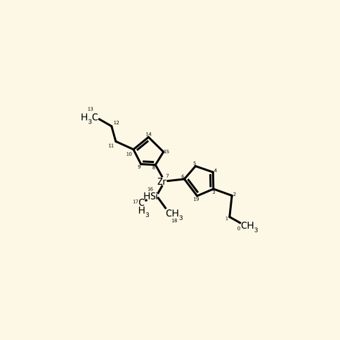 CCCC1=CC[C]([Zr]([C]2=CC(CCC)=CC2)[SiH](C)C)=C1